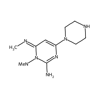 C/N=c1/cc(N2CCNCC2)nc(N)n1NC